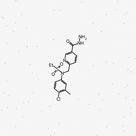 CCS(=O)(=O)N(Cc1ccc(C(=O)NN)cn1)c1ccc(Cl)c(C)c1